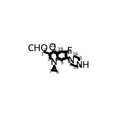 O=CCc1cn(C2CC2)c2cc(N3CCNCC3)c(F)cc2c1=O